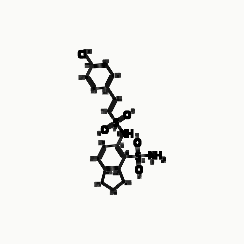 NS(=O)(=O)c1c(NS(=O)(=O)C=Cc2ccc(Cl)cc2)ccc2c1CCC2